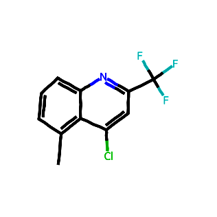 Cc1cccc2nc(C(F)(F)F)cc(Cl)c12